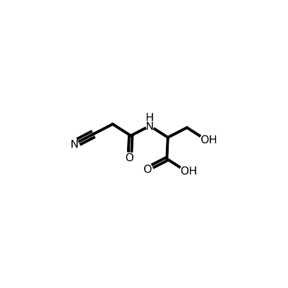 N#CCC(=O)NC(CO)C(=O)O